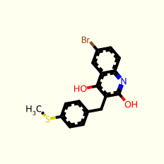 CSc1ccc(Cc2c(O)nc3ccc(Br)cc3c2O)cc1